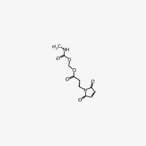 CNC(=O)OCOC(=O)CCN1C(=O)C=CC1=O